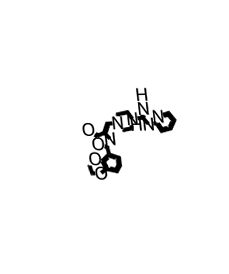 N=C(Nc1ccccn1)N1CCN(C=C2N=C(c3cccc4c3OCCO4)OC2=O)CC1